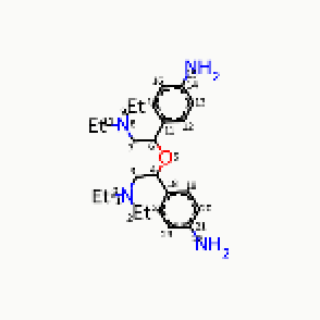 CCN(CC)CC(OC(CN(CC)CC)c1ccc(N)cc1)c1ccc(N)cc1